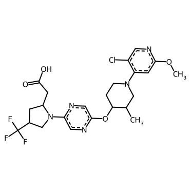 COc1cc(N2CCC(Oc3cnc(N4CC(C(F)(F)F)CC4CC(=O)O)cn3)C(C)C2)c(Cl)cn1